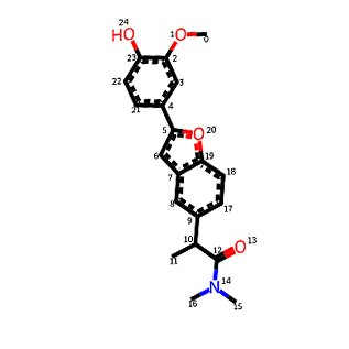 COc1cc(-c2cc3cc(C(C)C(=O)N(C)C)ccc3o2)ccc1O